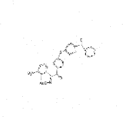 CC(=O)O/N=C(/C(=O)c1ccc(Sc2ccc(C(=O)c3ccccc3)cc2)cc1)c1cccc([N+](=O)[O-])c1C